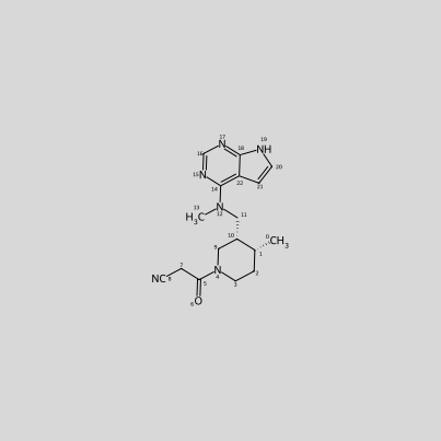 C[C@@H]1CCN(C(=O)CC#N)C[C@@H]1CN(C)c1ncnc2[nH]ccc12